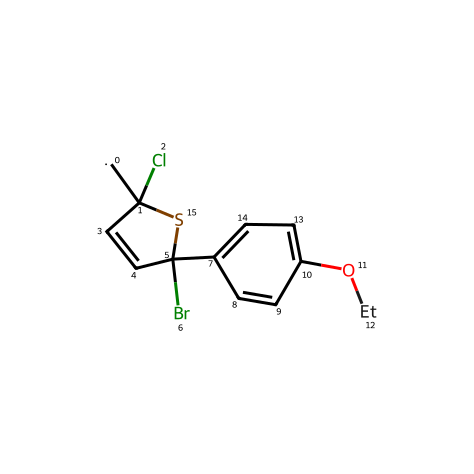 [CH2]C1(Cl)C=CC(Br)(c2ccc(OCC)cc2)S1